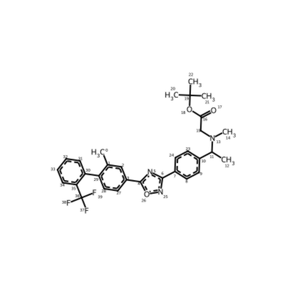 Cc1cc(-c2nc(-c3ccc(C(C)N(C)CC(=O)OC(C)(C)C)cc3)no2)ccc1-c1ccccc1C(F)(F)F